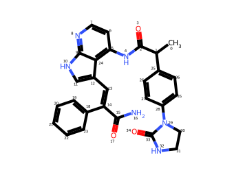 CC(C(=O)Nc1ccnc2[nH]cc(/C=C(/C(N)=O)c3ccccc3)c12)c1ccc(N2CCNC2=O)cc1